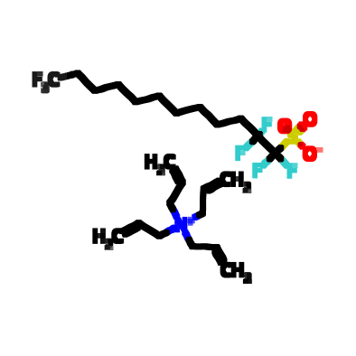 C=CC[N+](CC=C)(CC=C)CC=C.O=S(=O)([O-])C(F)(F)C(F)(F)CCCCCCCCCC(F)(F)F